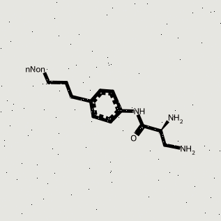 CCCCCCCCCCCCc1ccc(NC(=O)[C@@H](N)CN)cc1